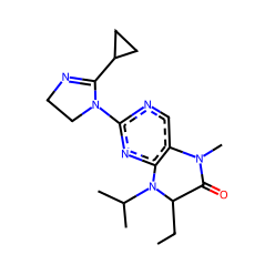 CCC1C(=O)N(C)c2cnc(N3CCN=C3C3CC3)nc2N1C(C)C